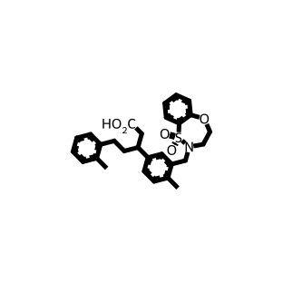 Cc1ccccc1CCC(CC(=O)O)c1ccc(C)c(CN2CCOc3ccccc3S2(=O)=O)c1